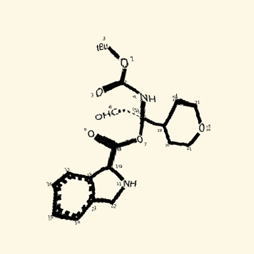 CC(C)(C)OC(=O)N[C@](C=O)(OC(=O)C1NCc2ccccc21)C1CCOCC1